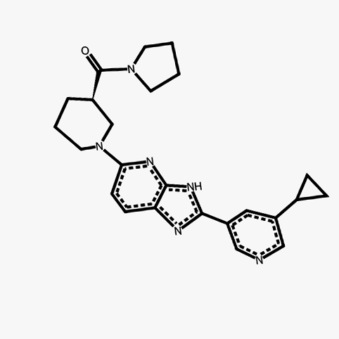 O=C([C@@H]1CCCN(c2ccc3nc(-c4cncc(C5CC5)c4)[nH]c3n2)C1)N1CCCC1